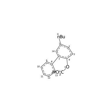 CCCCc1ccc(OC(=O)O)c(-c2ccccc2)c1